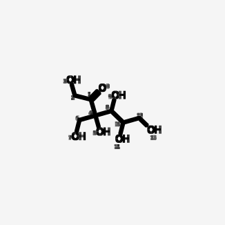 O=C(CO)C(O)(CO)C(O)C(O)CO